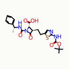 C[C@@H](NC(=O)N1C(=O)[C@H](CCc2cnc(NC(=O)OC(C)(C)C)s2)[C@H]1C(=O)O)c1ccccc1